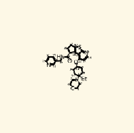 CC[C@]1(N2CCOCC2)CC[C@H](Oc2ccnc3sc4c(c23)[C@@H](C(=O)NCc2cccnc2)CC4)CC1